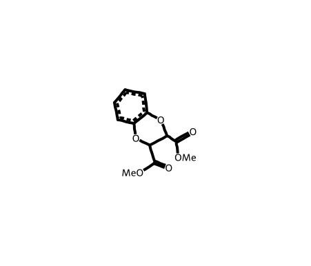 COC(=O)C1Oc2ccccc2OC1C(=O)OC